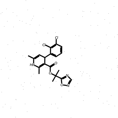 CC1=CC(c2cccc(Cl)c2Cl)C(C(=O)OC(C)(C)c2ncno2)=C(C)N1